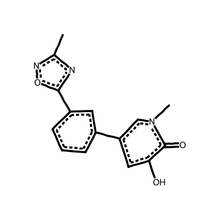 Cc1noc(-c2cccc(-c3cc(O)c(=O)n(C)c3)c2)n1